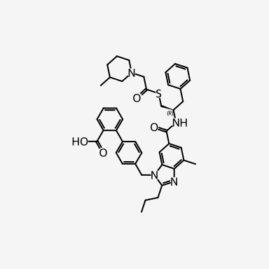 CCCc1nc2c(C)cc(C(=O)N[C@@H](CSC(=O)CN3CCCC(C)C3)Cc3ccccc3)cc2n1Cc1ccc(-c2ccccc2C(=O)O)cc1